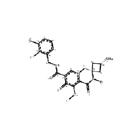 CCN1C(=O)c2c(OI)c(=O)c(C(=O)NCc3cccc(Cl)c3F)cn2C[C@]12C[C@@H](OC)C2